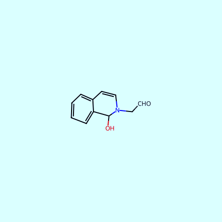 O=CCN1C=Cc2ccccc2C1O